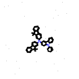 CC1(C)C2=CC(N(c3ccc4c(c3)C(C)(C)c3ccccc3-4)c3ccc4c(c3)c3ccccc3n4C3=CCCC=C3)CC=C2c2ccccc21